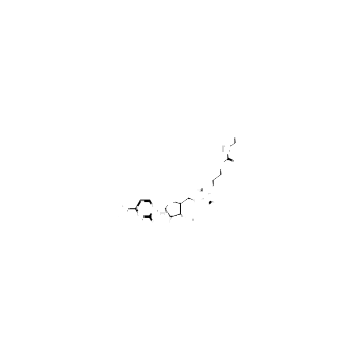 CCNC(=O)SCCOP(=O)(O)OCC1S[C@@H](n2ccc(N)nc2=O)[C@@H](F)[C@@H]1O